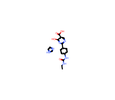 CCNC(=O)Nc1ccc(-c2ncc(C(=O)O)c(O)n2)cc1.c1c[nH]cn1